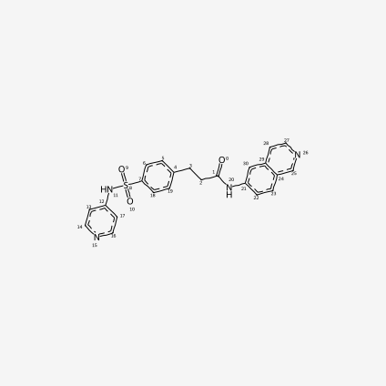 O=C(CCc1ccc(S(=O)(=O)Nc2ccncc2)cc1)Nc1ccc2cnccc2c1